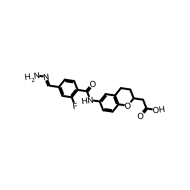 NN=Cc1ccc(C(=O)Nc2ccc3c(c2)CCC(CC(=O)O)O3)c(F)c1